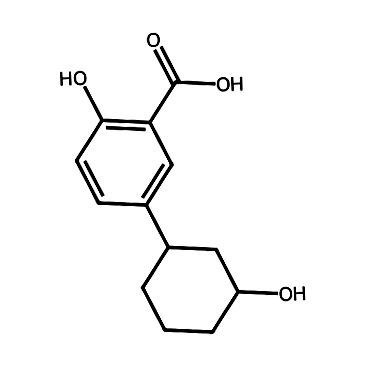 O=C(O)c1cc(C2CCCC(O)C2)ccc1O